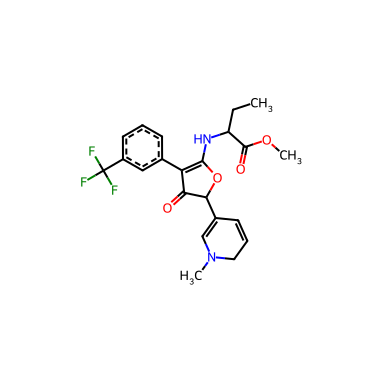 CCC(NC1=C(c2cccc(C(F)(F)F)c2)C(=O)C(C2=CN(C)CC=C2)O1)C(=O)OC